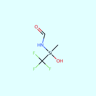 C[Si](O)(NC=O)C(F)(F)F